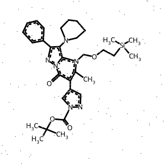 Cc1c(-c2cnn(C(=O)OC(C)(C)C)c2)c(=O)n2nc(-c3ccccc3)c(N3CCCCC3)c2n1COCC[Si](C)(C)C